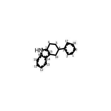 c1ccc(C2CCc3[nH]c4ccccc4c3C2)cc1